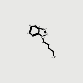 BrCCCCn1nnc2ccccc21